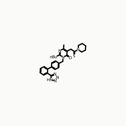 CCCCc1nc(C)c(CC(=S)N2CCCCC2)c(=O)n1Cc1ccc(-c2ccccc2-c2nnn[nH]2)cc1